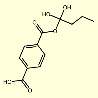 CCCC(O)(O)OC(=O)c1ccc(C(=O)O)cc1